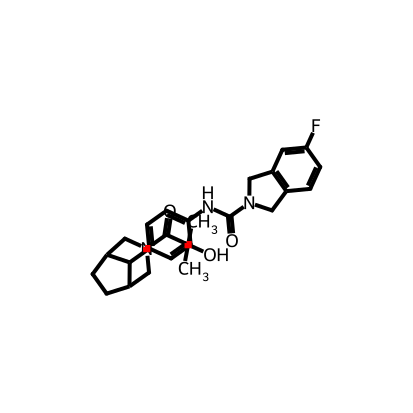 CC(C)(O)C(=O)N1CC2CCC(C1)C2c1ccc(NC(=O)N2Cc3ccc(F)cc3C2)cc1